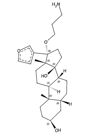 C[C@]12CC[C@H](O)C[C@H]1CC[C@@H]1[C@@H]2CC[C@]2(C)[C@@](OCCCN)(c3ccoc3)CC[C@]12O